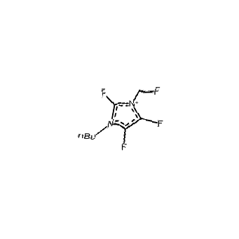 CCCCn1c(F)c(F)[n+](CF)c1F